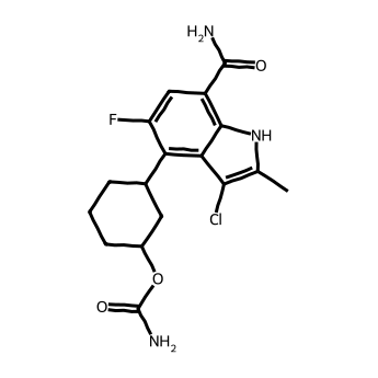 Cc1[nH]c2c(C(N)=O)cc(F)c(C3CCCC(OC(N)=O)C3)c2c1Cl